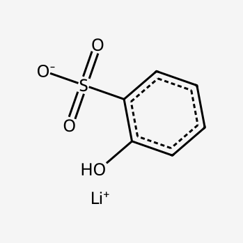 O=S(=O)([O-])c1ccccc1O.[Li+]